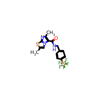 Cc1cn2c(C(=O)NCc3ccc(S(F)(F)(F)(F)F)cc3)c(C)nc2s1